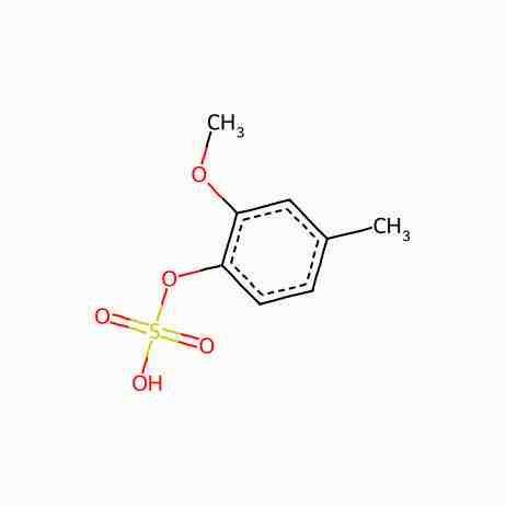 COc1cc(C)ccc1OS(=O)(=O)O